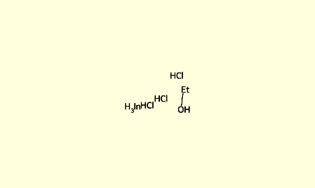 CCO.Cl.Cl.Cl.[InH3]